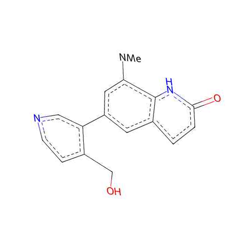 CNc1cc(-c2cnccc2CO)cc2ccc(=O)[nH]c12